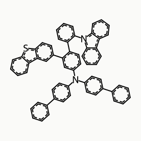 c1ccc(-c2ccc(N(c3ccc(-c4ccccc4)cc3)c3ccc(-c4ccccc4-n4c5ccccc5c5ccccc54)c(-c4ccc5sc6ccccc6c5c4)c3)cc2)cc1